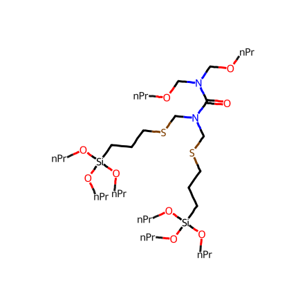 CCCOCN(COCCC)C(=O)N(CSCCC[Si](OCCC)(OCCC)OCCC)CSCCC[Si](OCCC)(OCCC)OCCC